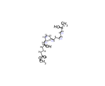 CC[C@H](O)/C=C/C=C\C/C=C\C/C=C\C=C\[C@@H](O)CCCC(=O)OC